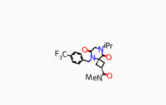 CNC(=O)[C@H]1C[C@]2(C1)C(=O)N(C(C)C)CC(=O)N2Cc1ccc(C(F)(F)F)cc1